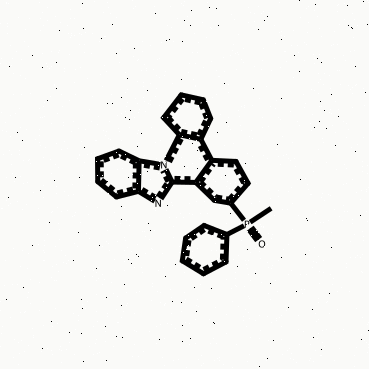 CP(=O)(c1ccccc1)c1ccc2c3ccccc3n3c4ccccc4nc3c2c1